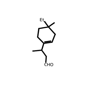 CCC1(C)CC=C(C(C)CC=O)CC1